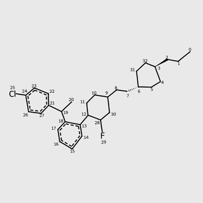 CCC[C@H]1CC[C@H](CCC2CCC(c3ccccc3C(C)c3ccc(Cl)cc3)C(F)C2)CC1